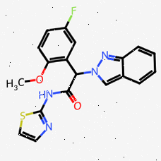 COc1ccc(F)cc1C(C(=O)Nc1nccs1)n1cc2ccccc2n1